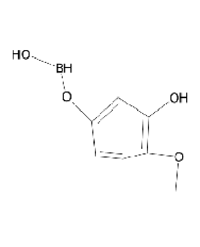 COc1ccc(OBO)cc1O